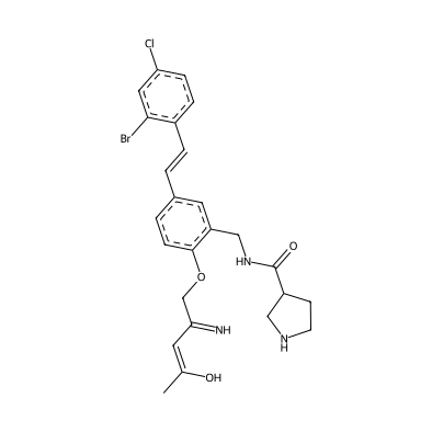 C/C(O)=C/C(=N)COc1ccc(/C=C/c2ccc(Cl)cc2Br)cc1CNC(=O)C1CCNC1